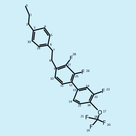 CCCc1ccc(CCc2ccc(-c3ccc(OC(F)(F)F)c(F)c3)c(F)c2F)cc1